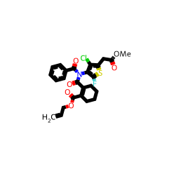 C=CCOC(=O)C1=C(C(=O)N(C(=O)c2ccccc2)c2c(F)sc(CC(=O)OC)c2Cl)CCCC1